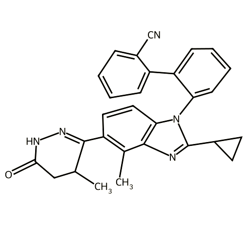 Cc1c(C2=NNC(=O)CC2C)ccc2c1nc(C1CC1)n2-c1ccccc1-c1ccccc1C#N